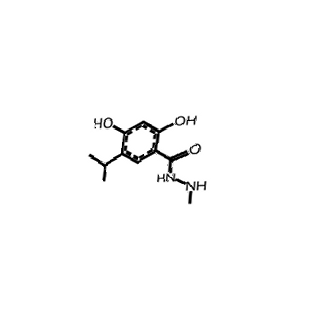 CNNC(=O)c1cc(C(C)C)c(O)cc1O